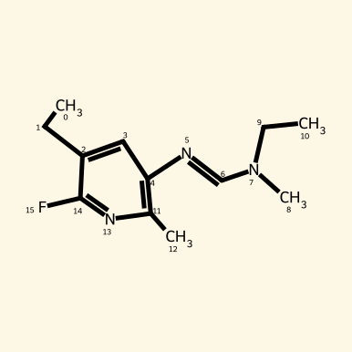 CCc1cc(/N=C/N(C)CC)c(C)nc1F